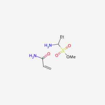 C=CC(N)=O.CCC(N)S(=O)(=O)OC